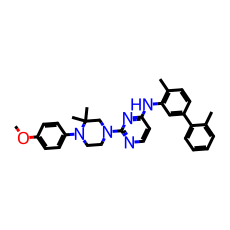 COc1ccc(N2CCN(c3nccc(Nc4cc(-c5ccccc5C)ccc4C)n3)CC2(C)C)cc1